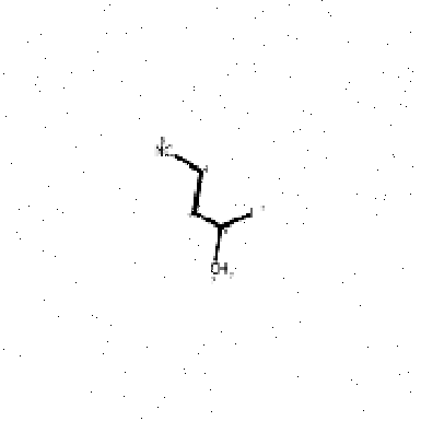 CC(I)CCC#N